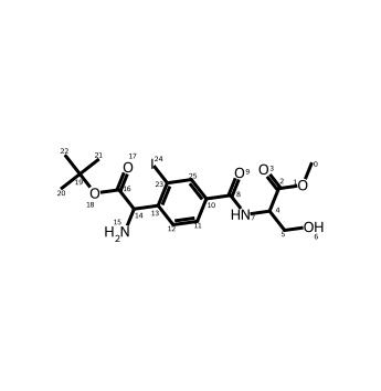 COC(=O)C(CO)NC(=O)c1ccc(C(N)C(=O)OC(C)(C)C)c(I)c1